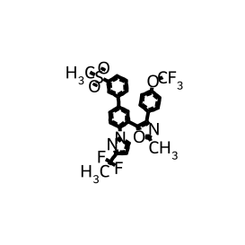 Cc1nc(-c2ccc(OC(F)(F)F)cc2)c(-c2cc(-c3cccc(S(C)(=O)=O)c3)ccc2-n2ccc(C(C)(F)F)n2)o1